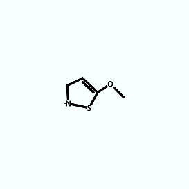 COC1=CC[N]S1